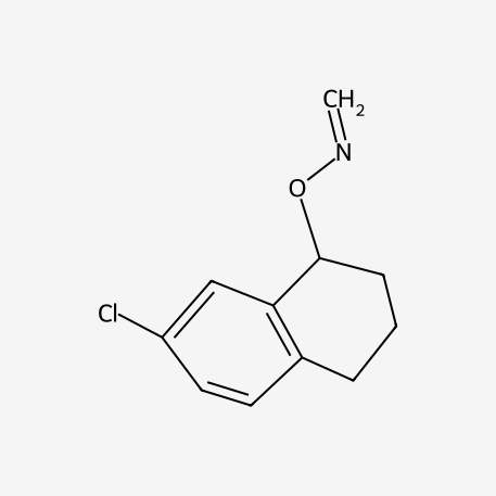 C=NOC1CCCc2ccc(Cl)cc21